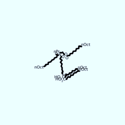 CCCCCCCCC=CCCCCCCCC(=O)O.CCCCCCCCC=CCCCCCCCC(=O)O.CCCCCCCCC=CCCCCCCCC(=O)OCCC(CCC)N(C(=O)CCCCCCCC=CCCCCCCCC)C(=O)CCCCCCCC=CCCCCCCCC